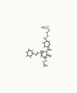 O=C(O)CCCOc1ccc(NC(NC(=O)/C=C/c2ccccc2)C(=O)NCCO)cc1